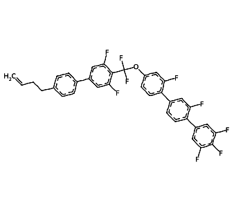 C=CCCc1ccc(-c2cc(F)c(C(F)(F)Oc3ccc(-c4ccc(-c5cc(F)c(F)c(F)c5)c(F)c4)c(F)c3)c(F)c2)cc1